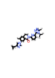 Cc1cc2c(cc1-n1cnc(C3CC3)c1)C(=O)N(c1cccc(-c3nnc(C)n3C(C)C)n1)CC2